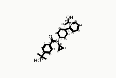 CC(C)(O)c1ccc(C(=O)N(C2CC2)[C@H]2CC[C@](CCO)(c3ccccn3)CC2)cc1